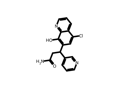 NC(=O)CC(c1cccnc1)c1cc(Cl)c2cccnc2c1O